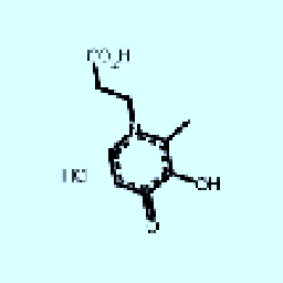 Cc1c(O)c(=O)ccn1CCC(=O)O.Cl